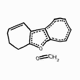 C1=Cc2c(oc3ccccc23)CC1.C=O